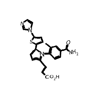 Cc1cc(C(N)=O)ccc1-n1c(CCC(=O)O)ccc1-c1ccc(-n2ccnc2)s1